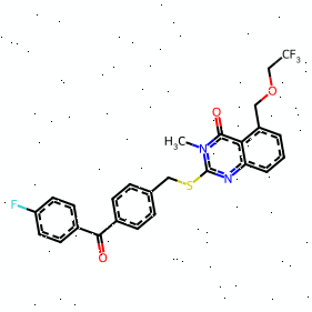 Cn1c(SCc2ccc(C(=O)c3ccc(F)cc3)cc2)nc2cccc(COCC(F)(F)F)c2c1=O